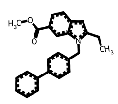 CCc1cc2ccc(C(=O)OC)cc2n1Cc1ccc(-c2ccccc2)cc1